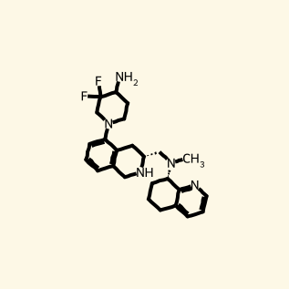 CN(C[C@H]1Cc2c(cccc2N2CCC(N)C(F)(F)C2)CN1)[C@H]1CCCc2cccnc21